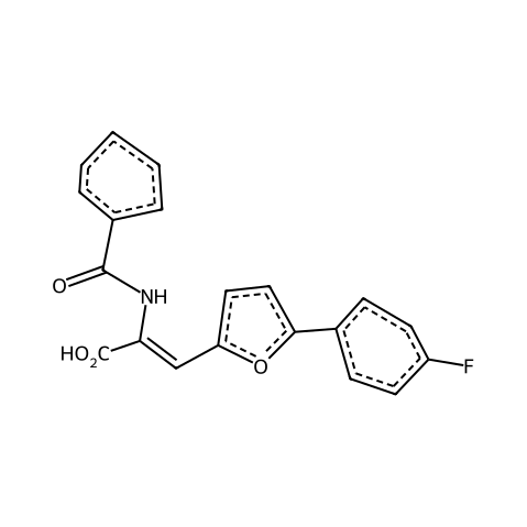 O=C(O)C(=Cc1ccc(-c2ccc(F)cc2)o1)NC(=O)c1ccccc1